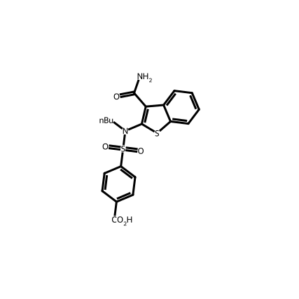 CCCCN(c1sc2ccccc2c1C(N)=O)S(=O)(=O)c1ccc(C(=O)O)cc1